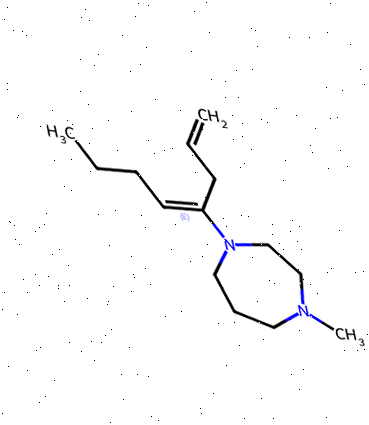 C=CC/C(=C\CCC)N1CCCN(C)CC1